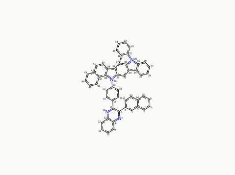 c1ccc2cc(-c3nc4ccccc4nc3-c3ccc(-n4c5cc6c7ccccc7n7c8ccccc8c(c5c5ccc8ccccc8c54)c67)cc3)ccc2c1